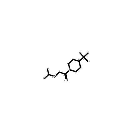 CC(C)OCC(=O)N1CCC(C(C)(C)C)CC1